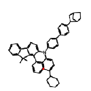 CC1(C)c2ccccc2-c2ccc(N(c3ccc(-c4ccc(C5CC6CCC5C6)cc4)cc3)c3ccc(C4CCCCC4)cc3)c(-c3ccccc3)c21